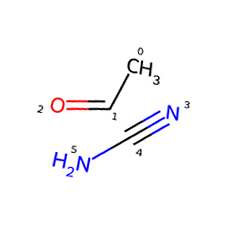 CC=O.N#CN